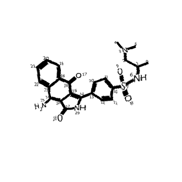 CC(CN(C)C)NS(=O)(=O)c1ccc(C2=C3C(=O)c4ccccc4C(N)=C3C(=O)N2)cc1